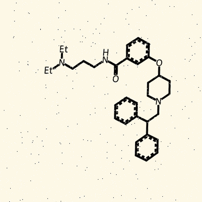 CCN(CC)CCCNC(=O)c1cccc(OC2CCN(CC(c3ccccc3)c3ccccc3)CC2)c1